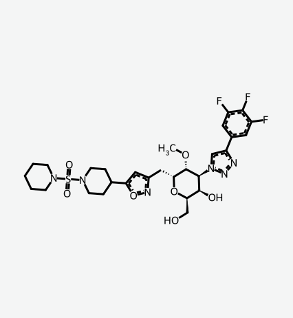 CO[C@@H]1[C@@H](n2cc(-c3cc(F)c(F)c(F)c3)nn2)[C@@H](O)[C@@H](CO)O[C@@H]1Cc1cc(C2CCN(S(=O)(=O)N3CCCCC3)CC2)on1